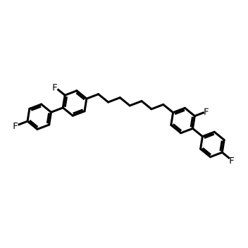 Fc1ccc(-c2ccc(CCCCCCCc3ccc(-c4ccc(F)cc4)c(F)c3)cc2F)cc1